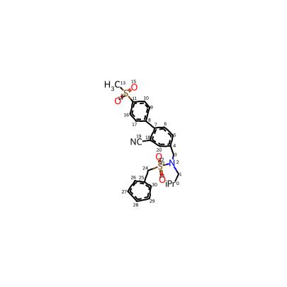 CC(C)CN(Cc1ccc(-c2ccc(S(C)(=O)=O)cc2)c(C#N)c1)S(=O)(=O)Cc1ccccc1